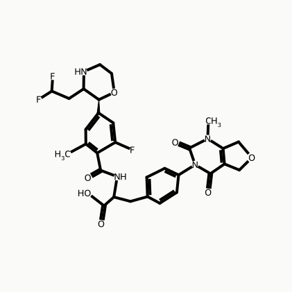 Cc1cc([C@@H]2OCCNC2CC(F)F)cc(F)c1C(=O)NC(Cc1ccc(-n2c(=O)c3c(n(C)c2=O)COC3)cc1)C(=O)O